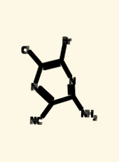 N#Cc1nc(Cl)c(Br)nc1N